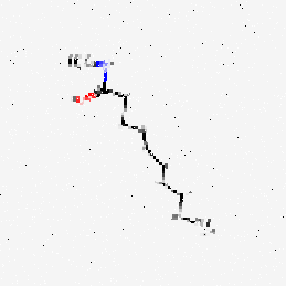 C=NC(=O)CCCCCCCCC